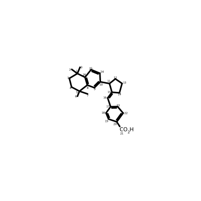 CC1(C)CCC(C)(C)c2cc(C3CCCC3=Cc3ccc(C(=O)O)cc3)ccc21